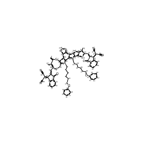 C=C1Sc2c(n(CCCCCCOc3ccccc3)c3c2c2nsnc2c2c4sc5c(C)c(/C=C6\C(=O)c7ccccc7C6=C(C#N)C#N)sc5c4n(CCCCCCOc4ccccc4)c23)CSC(/C=C2\C(=O)c3ccccc3C2=C(C#N)C#N)=C\1C